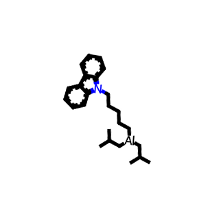 CC(C)[CH2][Al]([CH2]CCCCn1c2ccccc2c2ccccc21)[CH2]C(C)C